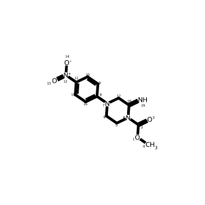 COC(=O)N1CCN(c2ccc([N+](=O)[O-])cc2)CC1=N